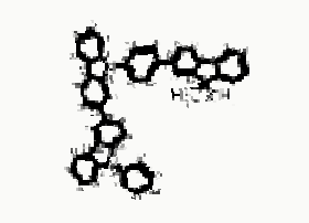 CC1(C)c2ccccc2-c2ccc(-c3ccc(-n4c5ccccc5c5ccc(-c6ccc7c(c6)c6ccccc6n7-c6ccccc6)cc54)cc3)cc21